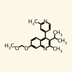 COCOc1ccc2c(-c3ccnc(C)c3)c(C(C)C)c(C)nc2c1